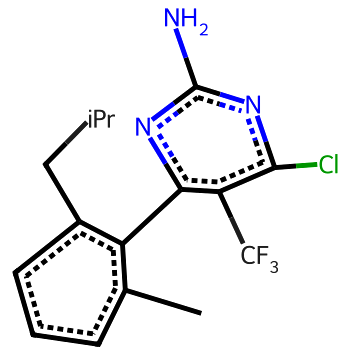 Cc1cccc(CC(C)C)c1-c1nc(N)nc(Cl)c1C(F)(F)F